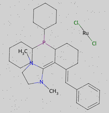 CN1CCN(C)C1=C1C(=Cc2ccccc2)CCCC1P(C1CCCCC1)C1CCCCC1.[Cl][Ru][Cl]